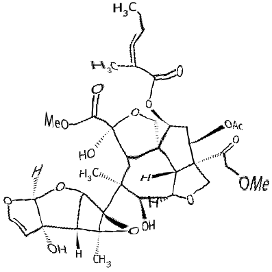 C/C=C(\C)C(=O)O[C@H]1C[C@@H](OC(C)=O)[C@@]2(C(=O)OC)CO[C@H]3[C@@H](O)[C@@](C)([C@]45O[C@@]4(C)[C@H]4C5O[C@@H]5OC=C[C@@]54O)C4[C@]1(CO[C@]4(O)C(=O)OC)[C@@H]32